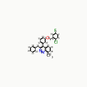 Fc1ccc(Cl)c(COc2cccc(-c3c(Cc4ccccc4)nnc4c(C(F)(F)F)cccc34)c2)c1